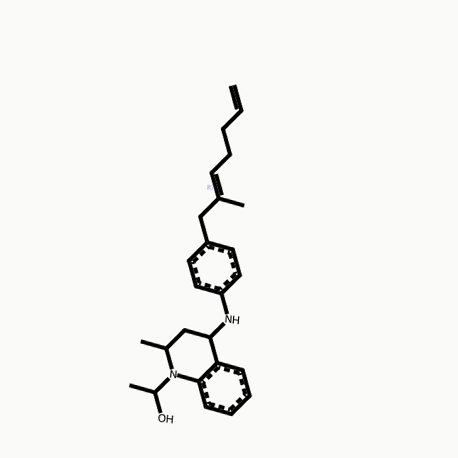 C=CCC/C=C(\C)Cc1ccc(NC2CC(C)N(C(C)O)c3ccccc32)cc1